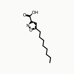 CCCCCCCCc1cc(C(=O)O)no1